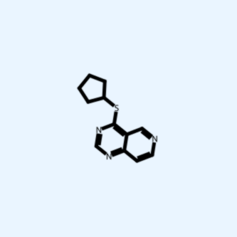 c1cc2ncnc(SC3CCCC3)c2cn1